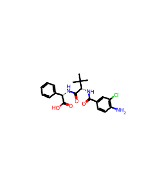 CC(C)(C)[C@H](NC(=O)c1ccc(N)c(Cl)c1)C(=O)N[C@H](C(=O)O)c1ccccc1